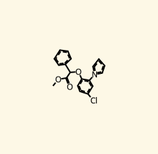 COC(=O)C(Oc1ccc(Cl)cc1-n1cccc1)c1ccccc1